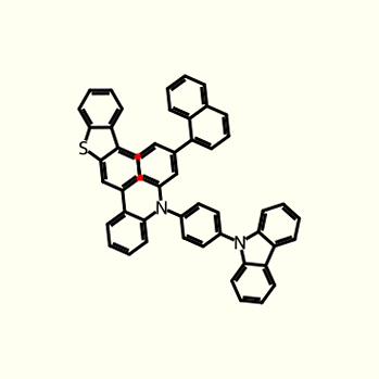 c1cc(-c2cccc3ccccc23)cc(N(c2ccc(-n3c4ccccc4c4ccccc43)cc2)c2ccccc2-c2ccc3c(c2)sc2ccccc23)c1